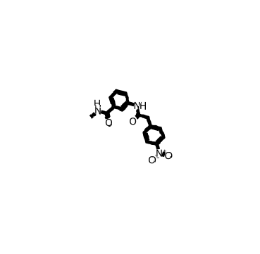 CNC(=O)c1cccc(NC(=O)Cc2ccc([N+](=O)[O-])cc2)c1